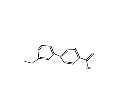 CCc1cccc(-c2ccc(C(=O)O)nc2)c1